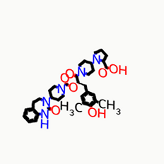 Cc1cc(C[C@@H](OC(=O)N2CCC(N3CCc4ccccc4NC3=O)CC2)C(=O)N2CCC(N3CCCC3C(=O)O)CC2)cc(C)c1O